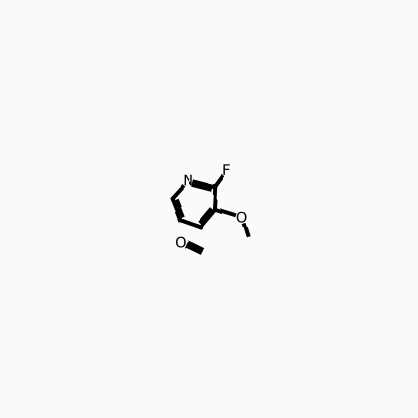 C=O.COc1cccnc1F